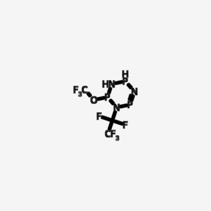 FC(F)(F)Op1[nH][pH]npn1C(F)(F)C(F)(F)F